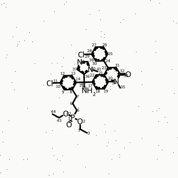 CCOP(=O)(CCCc1cc(Cl)ccc1[C@@](N)(c1ccc2c(c1)c(-c1cccc(Cl)c1)cc(=O)n2C)c1cncn1C)OCC